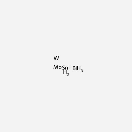 [BiH3].[Mo].[SnH2].[W]